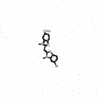 COc1ccc2oc(/C=C3\Sc4ccc(Br)cc4N3C)[n+](C)c2c1